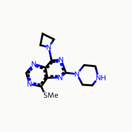 CSc1ncnc2c(N3CCC3)nc(N3CCNCC3)nc12